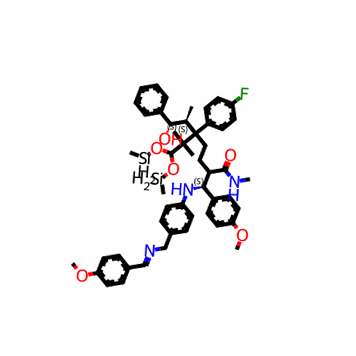 CNC(=O)C(CCC(c1ccc(F)cc1)([C@H](C)[C@H](O)c1ccccc1)C(C)(C)C(O[SiH2]C)O[SiH2]C)[C@H](Nc1ccc(CN=Cc2ccc(OC)cc2)cc1)c1ccc(OC)cc1